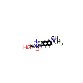 CN(C)c1ccc2cc(/C=C(\C#N)C(=O)NCCO)ccc2c1